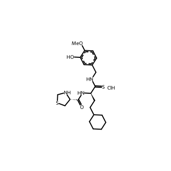 COc1ccc(CNC(=S)[C@@H](CCC2CCCCC2)NC(=O)[C@@H]2CSCN2)cc1O.Cl